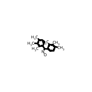 Cc1ccc(C(N=O)c2ccc(C)c(C)c2C)c(C)c1C